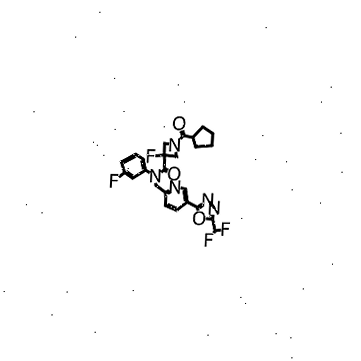 O=C(C1CCCC1)N1CC(F)(C(=O)N(Cc2ccc(-c3nnc(C(F)F)o3)cn2)c2cccc(F)c2)C1